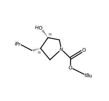 CC(C)C[C@H]1CN(C(=O)OC(C)(C)C)C[C@H]1O